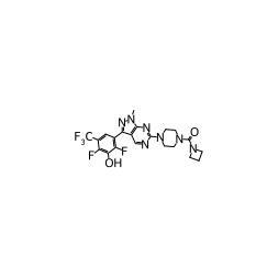 Cn1nc(-c2cc(C(F)(F)F)c(F)c(O)c2F)c2cnc(N3CCN(C(=O)N4CCC4)CC3)nc21